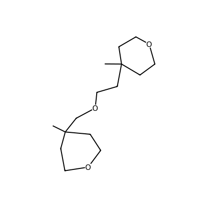 CC1(CCOCC2(C)CCOCC2)CCOCC1